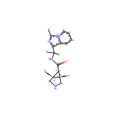 Cc1nc(C(C)(C)NC(=O)[C@H]2[C@@H]3CNC[C@@H]32)c2ccccn12